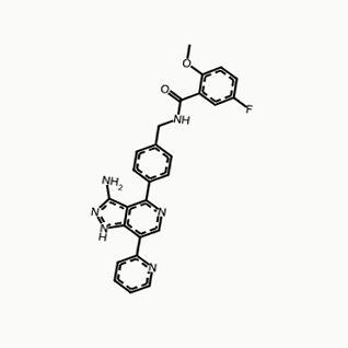 COc1ccc(F)cc1C(=O)NCc1ccc(-c2ncc(-c3ccccn3)c3[nH]nc(N)c23)cc1